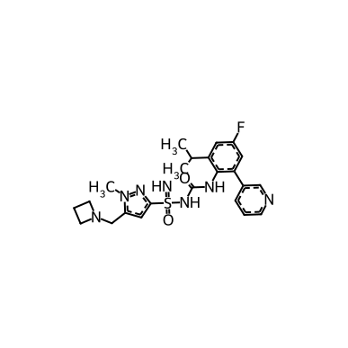 CC(C)c1cc(F)cc(-c2cccnc2)c1NC(=O)NS(=N)(=O)c1cc(CN2CCC2)n(C)n1